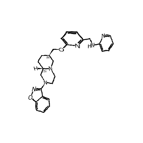 c1ccc(NCc2cccc(OC[C@@H]3CC[C@H]4CN(c5noc6ccccc56)CCN4C3)n2)nc1